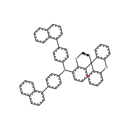 c1ccc2c(c1)Oc1ccccc1C21c2ccccc2Sc2c(N(c3ccc(-c4cccc5ccccc45)cc3)c3ccc(-c4cccc5ccccc45)cc3)cccc21